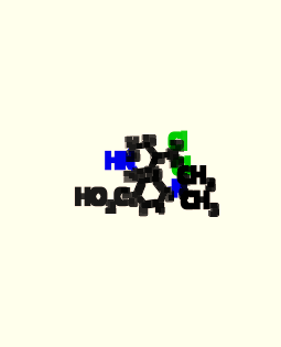 CN(C)c1ccc(C(=O)O)cc1.ClC(Cl)C1CCNCC1